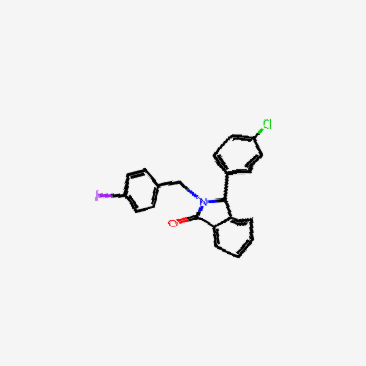 O=C1c2ccccc2C(c2ccc(Cl)cc2)N1Cc1ccc(I)cc1